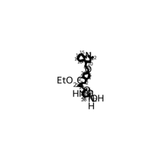 CCOC(=O)[C@@]1(Cc2ccc(OCc3cc(C)nc4ccccc34)cc2)C[C@@H]1C(=O)N[C@@H](C)C(=O)NO